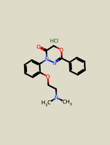 CN(C)CCOc1ccccc1N1N=C(c2ccccc2)OCC1=O.Cl